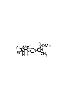 CCc1[nH]c(C(=O)NC2CCN(c3cc(C)nc(C(=O)OC)c3)CC2OC)nc1Cl